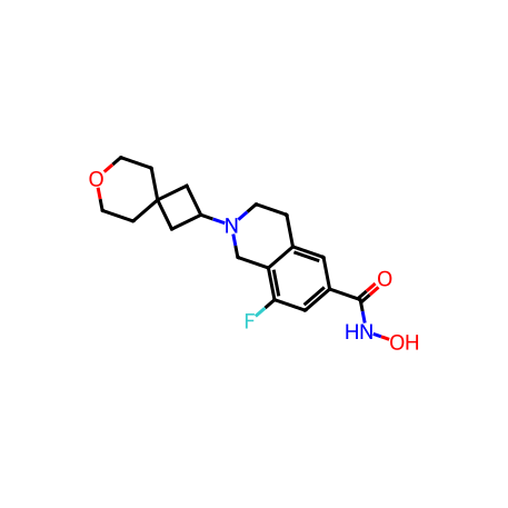 O=C(NO)c1cc(F)c2c(c1)CCN(C1CC3(CCOCC3)C1)C2